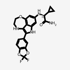 NC(=O)[C@@H](Nc1cc2c3c(c(-c4ccc5c(c4)OC(F)(F)O5)[nH]c3c1)NCCO2)C1CC1